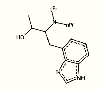 CCCN(CCC)C(Cc1cccc2[nH]cnc12)C(C)O